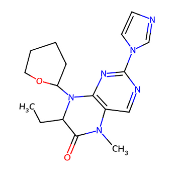 CCC1C(=O)N(C)c2cnc(-n3ccnc3)nc2N1C1CCCCO1